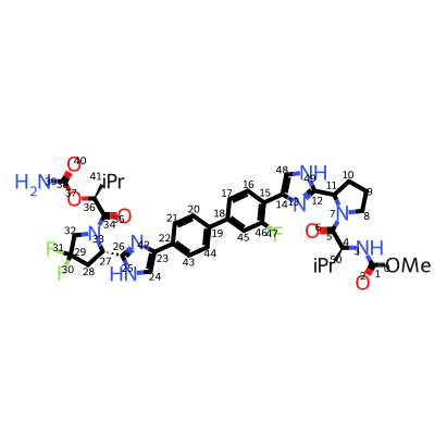 COC(=O)N[C@H](C(=O)N1CCCC1c1nc(-c2ccc(-c3ccc(-c4c[nH]c([C@@H]5CC(F)(F)CN5C(=O)[C@@H](OC(N)=O)C(C)C)n4)cc3)cc2F)c[nH]1)C(C)C